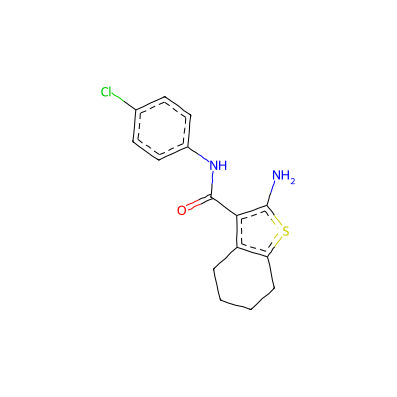 Nc1sc2c(c1C(=O)Nc1ccc(Cl)cc1)CCCC2